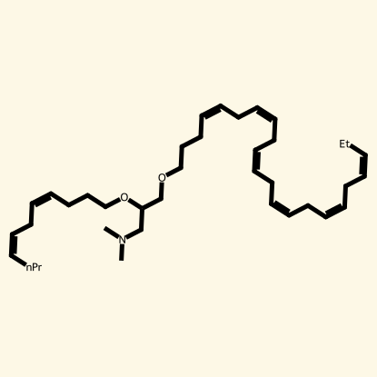 CC/C=C\C/C=C\C/C=C\C/C=C\C/C=C\C/C=C\CCCOCC(CN(C)C)OCCC/C=C\C/C=C\CCC